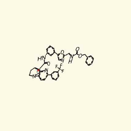 O=C(NCc1ncc(-c2cccc(NC(=O)N3c4nc(-c5cccc(C(F)(F)F)c5)ccc4N4CCC3CC4)c2)o1)OCc1ccccc1